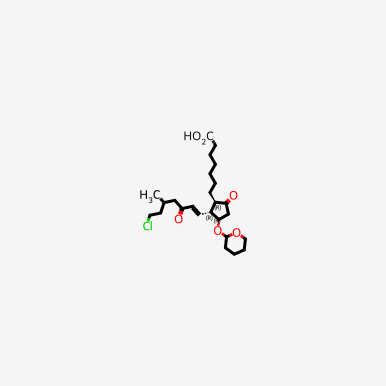 CC(CCCl)CC(=O)C=C[C@H]1[C@H](OC2CCCCO2)CC(=O)[C@@H]1CCCCCCC(=O)O